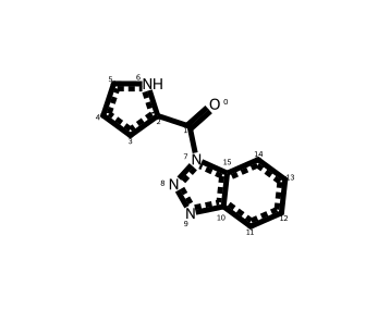 O=C(c1ccc[nH]1)n1nnc2ccccc21